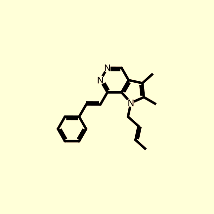 CC=CCn1c(C)c(C)c2cnnc(C=Cc3ccccc3)c21